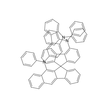 c1ccc(N(c2ccccc2)c2cccc3c2-c2ccccc2C32c3ccccc3-c3cc4ccccc4c(N(c4ccccc4)c4ccc5c(c4)c4ccccc4n5-c4ccccc4)c32)cc1